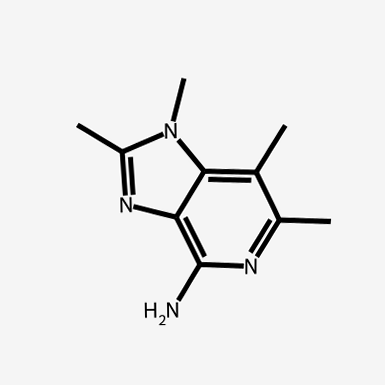 Cc1nc(N)c2nc(C)n(C)c2c1C